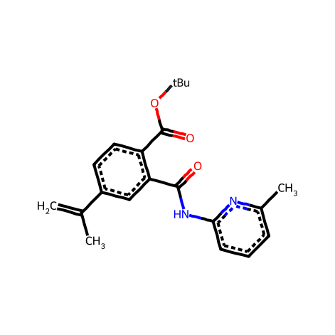 C=C(C)c1ccc(C(=O)OC(C)(C)C)c(C(=O)Nc2cccc(C)n2)c1